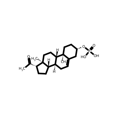 CC(=O)[C@H]1CC[C@H]2[C@@H]3CC=C4C[C@@H](OP(=O)(O)O)CC[C@]4(C)[C@H]3CC[C@]12C